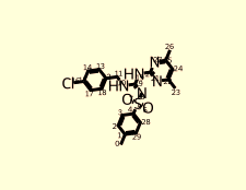 Cc1ccc(S(=O)(=O)/N=C(\NCc2ccc(Cl)cc2)Nc2nc(C)cc(C)n2)cc1